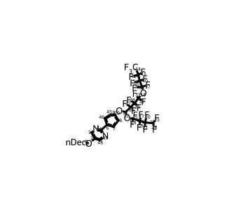 CCCCCCCCCCOc1cnc(-c2ccc(OC(OC(F)(F)C(F)(F)C(F)(F)C(F)F)C(F)(F)C(F)(F)C(F)(F)OC(F)(F)C(F)(F)C(F)(F)C(F)(F)F)cc2)nc1